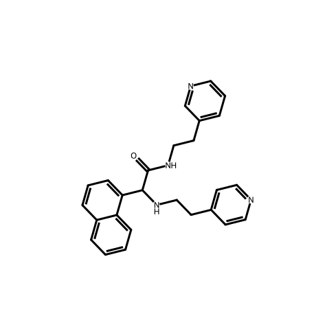 O=C(NCCc1cccnc1)C(NCCc1ccncc1)c1cccc2ccccc12